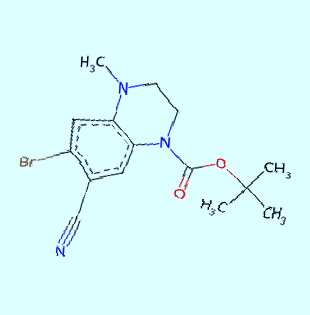 CN1CCN(C(=O)OC(C)(C)C)c2cc(C#N)c(Br)cc21